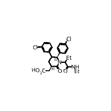 CCNC(=O)C(CC)N1C(=O)[C@@H](CC(=O)O)CC(c2cccc(Cl)c2)[C@H]1c1ccc(Cl)cc1